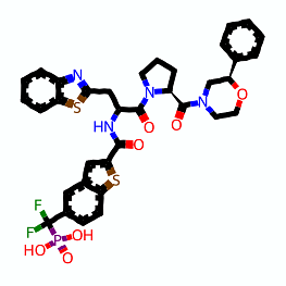 O=C(NC(Cc1nc2ccccc2s1)C(=O)N1CCC[C@H]1C(=O)N1CCO[C@H](c2ccccc2)C1)c1cc2cc(C(F)(F)P(=O)(O)O)ccc2s1